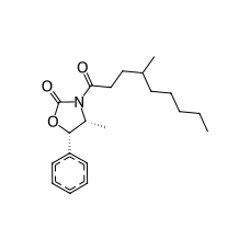 CCCCCC(C)CCC(=O)N1C(=O)O[C@@H](c2ccccc2)[C@H]1C